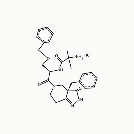 CC(C)(N)C(=O)N[C@H](COCc1ccccc1)C(=O)N1CCC2=NNC(=O)[C@@]2(Cc2ccccc2)C1.Cl